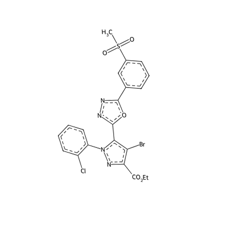 CCOC(=O)c1nn(-c2ccccc2Cl)c(-c2nnc(-c3cccc(S(C)(=O)=O)c3)o2)c1Br